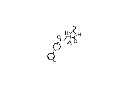 O=C1NC(=O)C(CCC(=O)N2CCN(c3cccc(F)c3)CC2)(C2CC2)N1